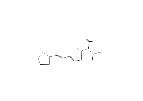 CC(C)C(=O)[C@H]([C@H](O)[C@H](C)/C=C/C=C/C1CCCC1)N(C)C(C)C